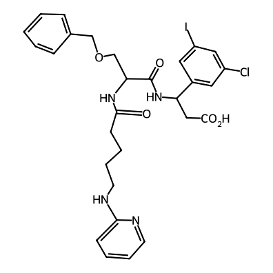 O=C(O)CC(NC(=O)C(COCc1ccccc1)NC(=O)CCCCNc1ccccn1)c1cc(Cl)cc(I)c1